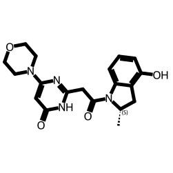 C[C@H]1Cc2c(O)cccc2N1C(=O)Cc1nc(N2CCOCC2)cc(=O)[nH]1